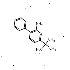 CC(C)(C)c1ccc(-c2ccccc2)c(N)c1